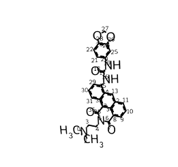 CN(C)CCN1C(=O)c2cccc3cc4c(NC(=O)Nc5ccc6c(c5)OCO6)cccc4c(c23)C1=O